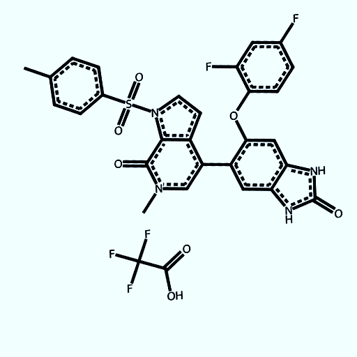 Cc1ccc(S(=O)(=O)n2ccc3c(-c4cc5[nH]c(=O)[nH]c5cc4Oc4ccc(F)cc4F)cn(C)c(=O)c32)cc1.O=C(O)C(F)(F)F